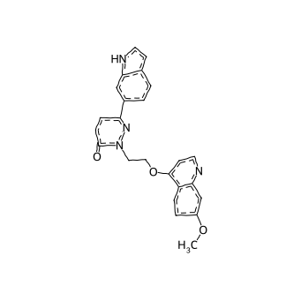 COc1ccc2c(OCCn3nc(-c4ccc5cc[nH]c5c4)ccc3=O)ccnc2c1